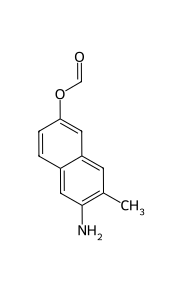 Cc1cc2cc(OC=O)ccc2cc1N